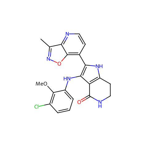 COc1c(Cl)cccc1Nc1c(-c2ccnc3c(C)noc23)[nH]c2c1C(=O)NCC2